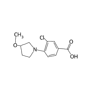 COC1CCN(c2ccc(C(=O)O)cc2Cl)C1